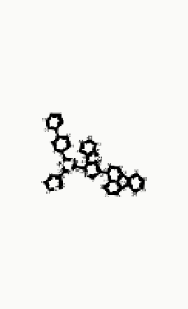 c1ccc(-c2ccc(-c3nc(-c4ccccc4)nc(-c4ncc(-c5ccc6c7c(cccc57)-c5ccccc5-6)c5oc6ccccc6c45)n3)cc2)cc1